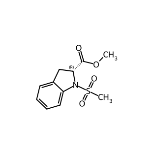 COC(=O)[C@H]1Cc2ccccc2N1S(C)(=O)=O